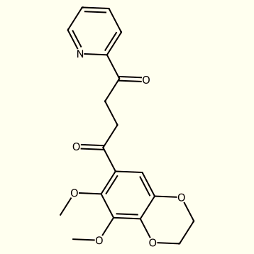 COc1c(C(=O)CCC(=O)c2ccccn2)cc2c(c1OC)OCCO2